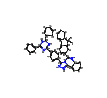 CC1(C)c2ccccc2-c2ccc(-c3nc4ccccc4c4nnc(-c5ccc(-c6nc(-c7ccccc7)nc(-c7ccccc7)n6)cc5)n34)cc21